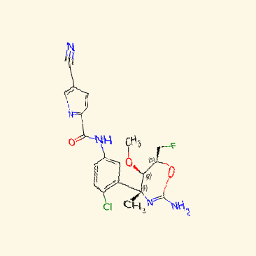 CO[C@H]1[C@@H](CF)OC(N)=N[C@]1(C)c1cc(NC(=O)c2ccc(C#N)cn2)ccc1Cl